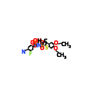 CCCOc1cc2sc(S(=O)(=O)NCP(=O)(O)Oc3ccc(C#N)c(F)c3)c(C)c2cc1OCCC